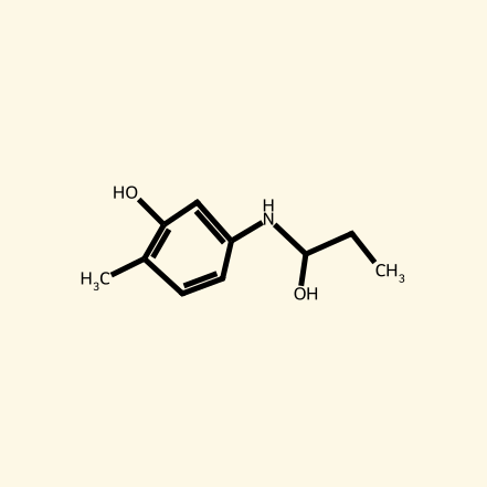 CCC(O)Nc1ccc(C)c(O)c1